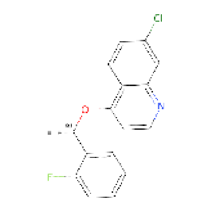 C[C@H](Oc1ccnc2cc(Cl)ccc12)c1ccccc1F